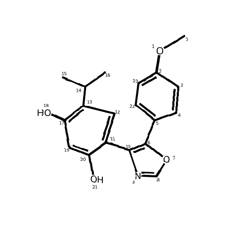 COc1ccc(-c2ocnc2-c2cc(C(C)C)c(O)cc2O)cc1